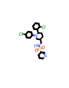 O=S(=O)(NCC1CCC(c2ccccc2Cl)N(c2ccc(Cl)cc2)C1)c1cccnc1